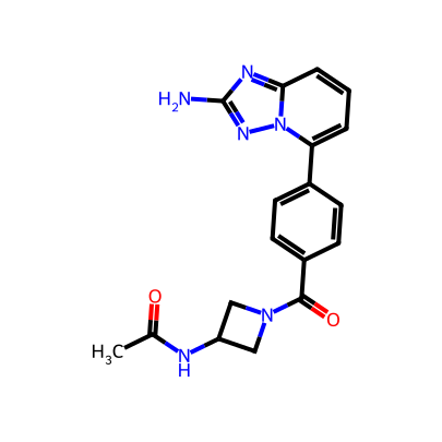 CC(=O)NC1CN(C(=O)c2ccc(-c3cccc4nc(N)nn34)cc2)C1